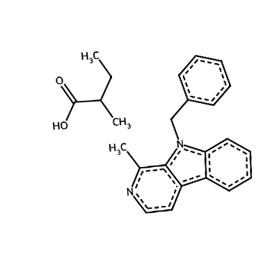 CCC(C)C(=O)O.Cc1nccc2c3ccccc3n(Cc3ccccc3)c12